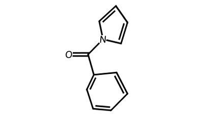 O=C(c1ccccc1)n1cccc1